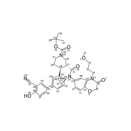 COCCCN1C(=O)COc2ccc(N(C(=O)[C@H]3CN(C(=O)OC(C)(C)C)CC[C@@H]3c3cccc(-c4ccc(O)c(C#N)c4)c3)C3CC3)cc21